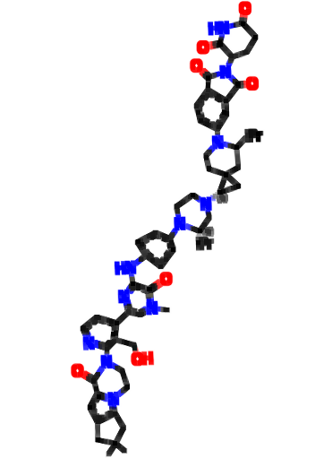 CC(C)C1CC2(CCN1c1ccc3c(c1)C(=O)N(C1CCC(=O)NC1=O)C3=O)C[C@@H]2N1CCN(c2ccc(Nc3nc(-c4ccnc(N5CCn6c(cc7c6CC(C)(C)C7)C5=O)c4CO)cn(C)c3=O)cc2)[C@@H](C(C)C)C1